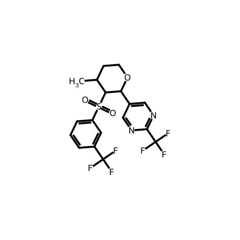 CC1CCOC(c2cnc(C(F)(F)F)nc2)C1S(=O)(=O)c1cccc(C(F)(F)F)c1